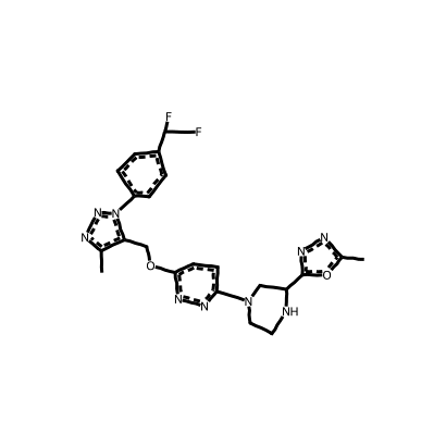 Cc1nnc(C2CN(c3ccc(OCc4c(C)nnn4-c4ccc(C(F)F)cc4)nn3)CCN2)o1